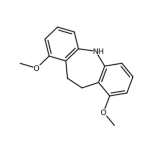 COc1cccc2c1CCc1c(cccc1OC)N2